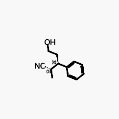 C[C@H](C#N)[C@@H](CCO)c1ccccc1